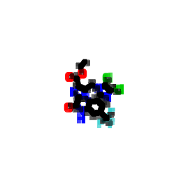 CCOC(=O)c1nc2c(=O)[nH]c3cc(C(F)(F)F)ccc3n2c1Cn1cnc(Cl)c1Cl